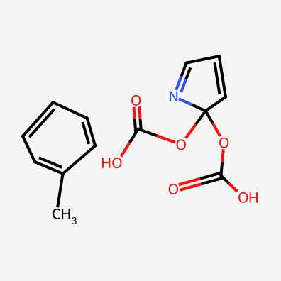 Cc1ccccc1.O=C(O)OC1(OC(=O)O)C=CC=N1